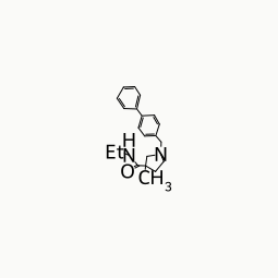 CCNC(=O)C1(C)CCN(Cc2ccc(-c3ccccc3)cc2)C1